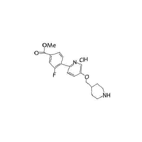 COC(=O)c1ccc(-c2ccc(OCC3CCNCC3)cn2)c(F)c1.Cl